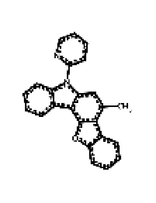 Cc1cc2c(c3ccccc3n2-c2ccccn2)c2oc3ccccc3c12